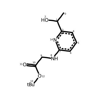 CC(O)c1cccc(NCC(=O)OC(C)(C)C)n1